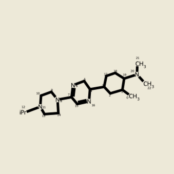 CC1CC(C2CN=C(N3CCN(C(C)C)CC3)C=N2)CCC1N(C)C